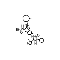 CCC(=O)N[C@H](Cc1ccc(CNC(=O)[C@@H](NC(=O)C2=CC=NC2C)C2CCCCC2)cc1)C(=O)NCC1CCCCCCC(C)C1